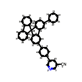 N#Cc1cncc(-c2ccc(-c3ccc4c(c3)-c3cc(-c5ccccc5)ccc3C43c4ccccc4-c4ccccc43)cc2)c1